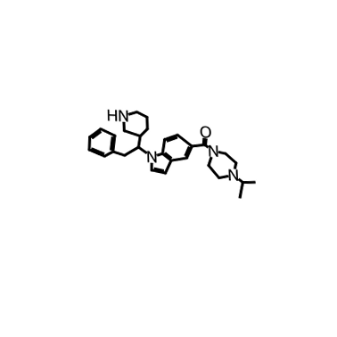 CC(C)N1CCN(C(=O)c2ccc3c(ccn3C(Cc3ccccc3)C3CCCNC3)c2)CC1